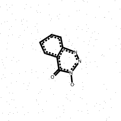 [O]n1nnc2ccccc2c1=O